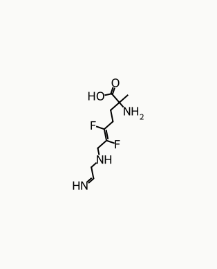 CC(N)(CCC(F)=C(F)CNCC=N)C(=O)O